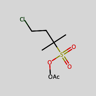 CC(=O)OOS(=O)(=O)C(C)(C)CCCl